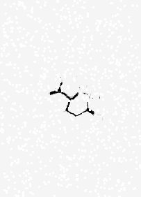 CC(=O)C1=NNC(=O)CC1